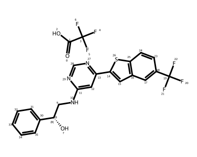 O=C(O)C(F)(F)F.O[C@@H](CNc1cc(-c2cc3cc(C(F)(F)F)ccc3s2)ncn1)c1ccccc1